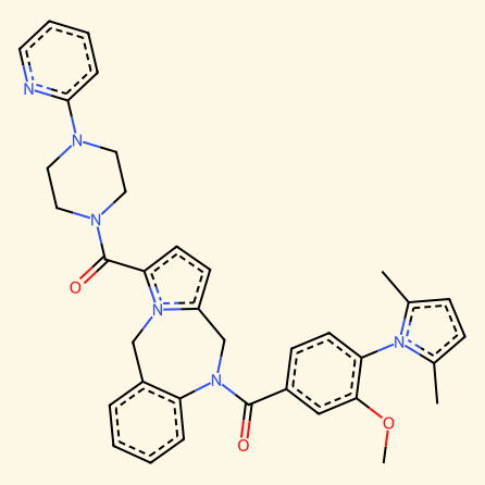 COc1cc(C(=O)N2Cc3ccc(C(=O)N4CCN(c5ccccn5)CC4)n3Cc3ccccc32)ccc1-n1c(C)ccc1C